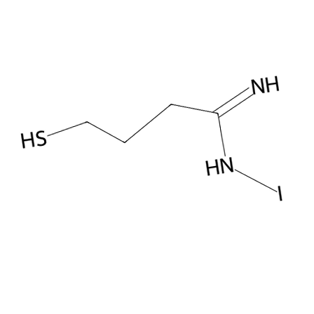 N=C(CCCS)NI